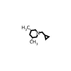 C[C@@H]1C[C@H](C)CN(CC2CC2)C1